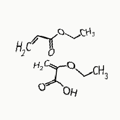 C=C(OCC)C(=O)O.C=CC(=O)OCC